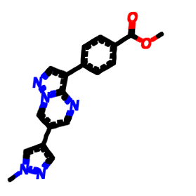 COC(=O)c1ccc(-c2cnn3cc(-c4cnn(C)c4)cnc23)cc1